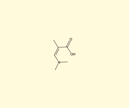 CC(=CN(C)C)C(=O)O